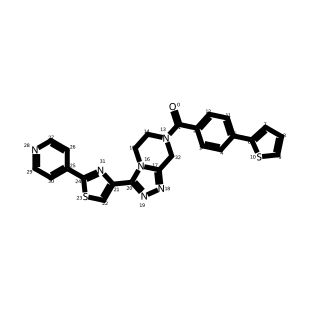 O=C(c1ccc(-c2cccs2)cc1)N1CCn2c(nnc2-c2csc(-c3ccncc3)n2)C1